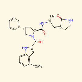 COc1cccc2[nH]c(C(=O)N3C[C@H](c4ccccc4)C[C@H]3C(=O)N[C@H](C#N)C[C@@H]3CCNC3=O)cc12